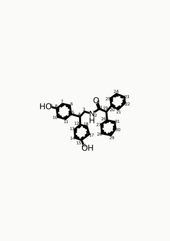 O=C(NCC(c1ccc(O)cc1)c1ccc(O)cc1)C(c1ccccc1)c1ccccc1